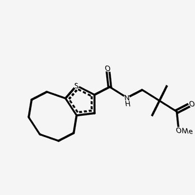 COC(=O)C(C)(C)CNC(=O)c1cc2c(s1)CCCCCC2